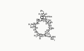 CCCCCC[C@H](NC(=O)[C@H](N)CC(C)C)C(=O)N[C@@H]1C(=O)N[C@@H]([C@H](O)C(C)C)C(=O)N[C@@H](CC(C)C)C(=O)N[C@H](CCCNC(=N)N)C(=O)N[C@@H]([C@@H](C)CC)C(=O)N[C@@H]([C@H](C)O)C(=O)NCC(=O)N[C@@H]([C@H](O)C(N)=O)C(=O)N[C@@H](CO)C(=O)O[C@@H]1c1ccccc1